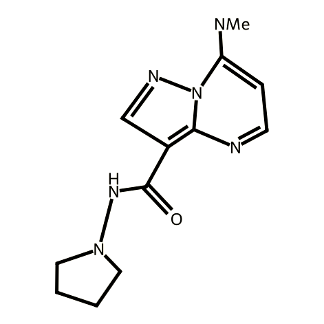 CNc1ccnc2c(C(=O)NN3CCCC3)cnn12